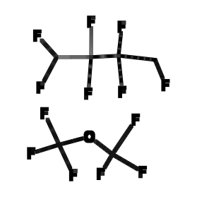 FC(F)(F)OC(F)(F)F.FCC(F)(F)C(F)(F)C(F)F